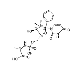 C[C@H](NP(=O)(O)OC[C@H]1O[C@@](c2ccccc2)(n2ccc(=O)[nH]c2=O)[C@@](C)(F)[C@@H]1O)C(=O)O